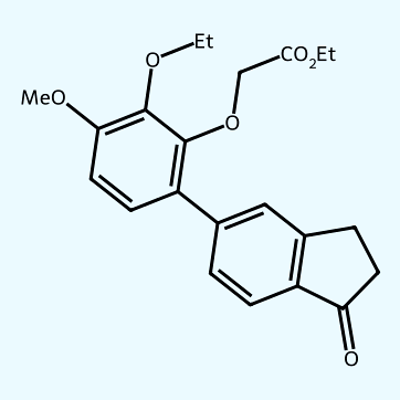 CCOC(=O)COc1c(-c2ccc3c(c2)CCC3=O)ccc(OC)c1OCC